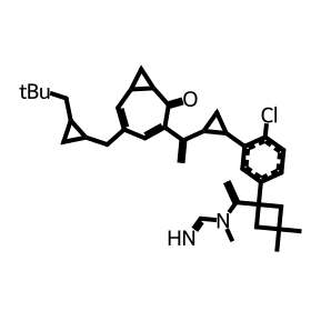 C=C(C1=CC(CC2CC2CC(C)(C)C)=CC2CC2C1=O)C1CC1c1cc(C2(C(=C)N(C)C=N)CC(C)(C)C2)ccc1Cl